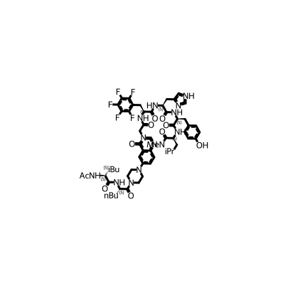 CCCC[C@H](NC(=O)[C@@H](NC(C)=O)[C@@H](C)CC)C(=O)N1CCN(c2ccc3ncn(CC(=O)N[C@@H](Cc4c(F)c(F)c(F)c(F)c4F)C(=O)N[C@@H](Cc4c[nH]cn4)C(=O)N[C@@H](Cc4ccc(O)cc4)C(=O)N[C@@H](CC(C)C)C(=O)NC)c(=O)c3c2)CC1